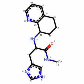 CCCNC(=O)C(Cc1c[nH]cn1)NC1CCCc2cccnc21